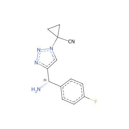 N#CC1(n2cc([C@@H](N)c3ccc(F)cc3)nn2)CC1